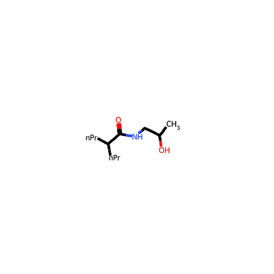 CCCC(CCC)C(=O)NCC(C)O